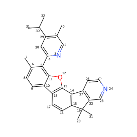 Cc1cnc(-c2c(C)ccc3c2oc2c4c(ccc23)C(C)(C)c2cnccc2-4)cc1C(C)C